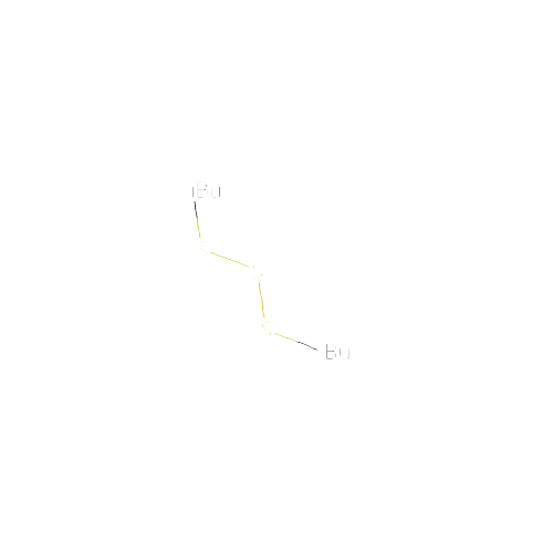 CCC(C)SSSC(C)CC